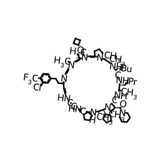 CC[C@H](C)[C@H]1CN[C@@H](CC(C)C)C(C)NCC2[C@@H](C(=O)N3CCCCC3)C(C)N2[C@@H](C2CCCC2)C(C)NC2(CCCC2)CNCCNC=CC(CCc2ccc(C(F)(F)F)c(Cl)c2)=NC=CN(C)C=C(COC2CCC2)N(C)C=C2CCCN2[C@@H](C)C(C)N1